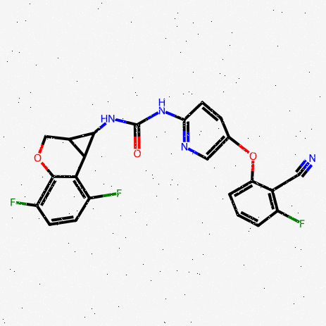 N#Cc1c(F)cccc1Oc1ccc(NC(=O)NC2C3COc4c(F)ccc(F)c4C32)nc1